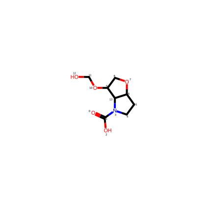 O=C(O)N1CCC2OCC(OCO)C21